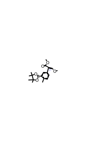 CO/C=C(/C(=O)OC)c1ccc(C)c(B2OC(C)(C)C(C)(C)O2)c1